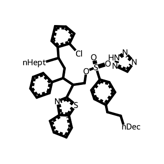 CCCCCCCCCCCCc1ccc(S(=O)(=O)OCC(c2nc3ccccc3s2)C(CC(CCCCCCC)c2ccccc2Cl)c2ccccc2)cc1.c1nn[nH]n1